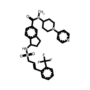 CN(C(=O)c1ccc2c(c1)CCC2NS(=O)(=O)CC=Cc1ccccc1C(F)(F)F)C1CCN(c2ccncc2)CC1